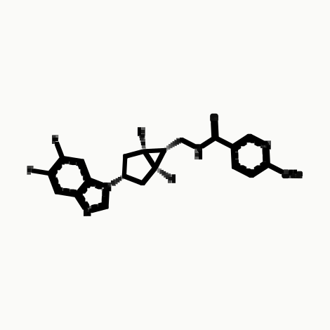 COc1ccc(C(=O)NC[C@@H]2[C@H]3C[C@H](n4cnc5cc(F)c(F)cc54)C[C@@H]23)cn1